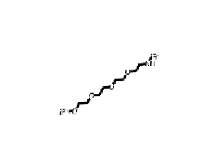 CC(C)NCCOCCOCCOCCOC(C)C